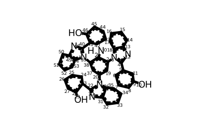 Nc1c(-n2c(-c3cccc(O)c3)nc3ccccc32)cc(-n2c(-c3ccccc3O)nc3ccccc32)cc1-n1c(-c2ccccc2O)nc2ccccc21